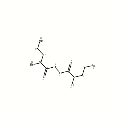 CCC(CCC(C)=O)C(=O)OOC(=O)C(CC)CCC(C)=O